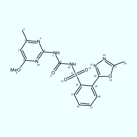 COc1cc(C)nc(NC(=O)NS(=O)(=O)c2ccccc2-c2nnc(C)o2)n1